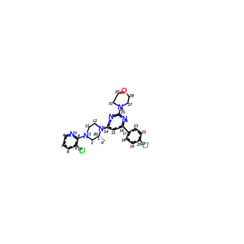 C[C@@H]1CN(c2ncccc2Cl)CCN1c1cc(-c2ccc(Cl)cc2)nc(N2CCOCC2)n1